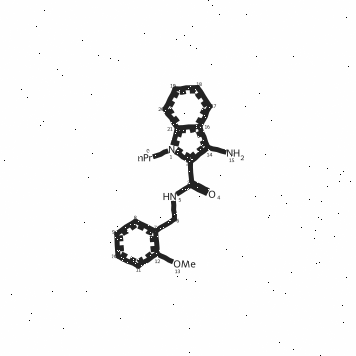 CCCn1c(C(=O)NCc2ccccc2OC)c(N)c2ccccc21